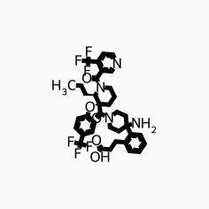 CCC[C@H]1N(C(=O)c2cnccc2C(F)(F)F)CCC[C@@]1(Oc1ccc(C(F)(F)F)cc1)C(=O)N1CCC(N)(c2ccccc2CCC(=O)O)CC1